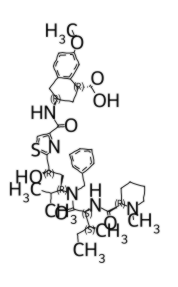 CC[C@H](C)[C@H](NC(=O)[C@H]1CCCCN1C)C(=O)N(Cc1ccccc1)[C@H](C[C@@H](O)c1nc(C(=O)N[C@H]2Cc3ccc(OC)cc3[C@H](C(=O)O)C2)cs1)C(C)C